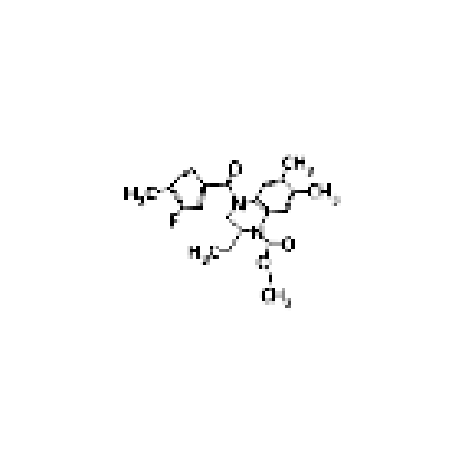 CCOC(=O)N1c2cc(C)c(C)cc2N(C(=O)c2ccc(C)c(F)c2)CC1CC